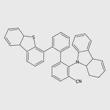 N#Cc1cccc(-c2ccccc2-c2cccc3c2SC2C=CC=CC32)c1N1c2ccccc2C2C=CCCC21